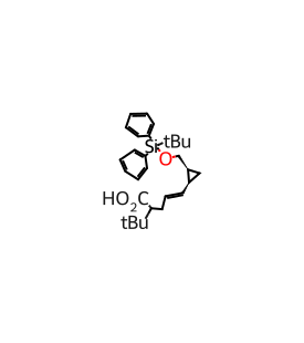 CC(C)(C)C(CC=C[C@@H]1C[C@@H]1CO[Si](c1ccccc1)(c1ccccc1)C(C)(C)C)C(=O)O